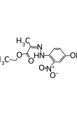 CCOC(=O)C(C)=NNc1ccc(O)cc1[N+](=O)[O-]